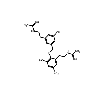 Cc1cc(O)c(OCc2cc(O)cc(CCNC(=N)N)c2)c(CCNC(=N)N)c1